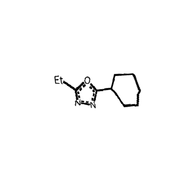 CCc1nnc(C2CCCCC2)o1